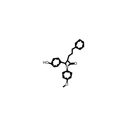 COc1ccc(N2C(=O)C(CCCc3ccccc3)C2c2ccc(O)cc2)cc1